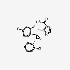 O=C(S)c1ncnn1C[C@]1(c2ccc(F)cc2F)O[C@@H]1c1ccccc1Cl